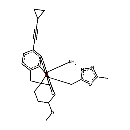 COC1CCC2(CC1)Cc1ccc(C#CC3CC3)cc1C21N=C(N)N(Cc2nnc(C)o2)C1=O